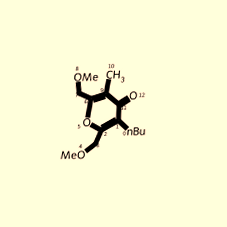 CCCCc1c(COC)oc(COC)c(C)c1=O